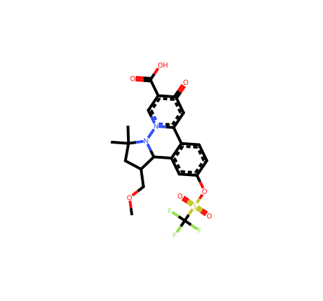 COCC1CC(C)(C)N2C1c1cc(OS(=O)(=O)C(F)(F)F)ccc1-c1cc(=O)c(C(=O)O)cn12